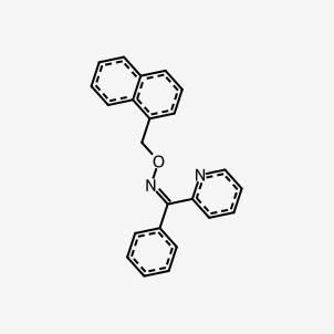 c1ccc(C(=NOCc2cccc3ccccc23)c2ccccn2)cc1